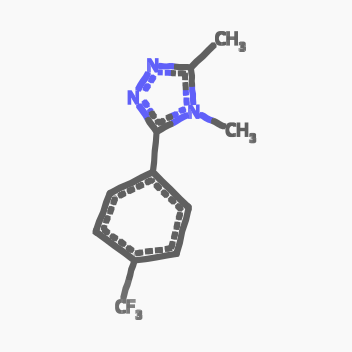 Cc1nnc(-c2ccc(C(F)(F)F)cc2)n1C